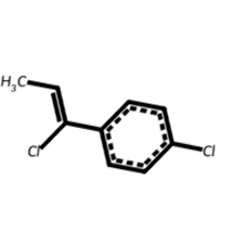 C/C=C(\Cl)c1ccc(Cl)cc1